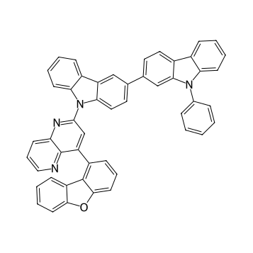 c1ccc(-n2c3ccccc3c3ccc(-c4ccc5c(c4)c4ccccc4n5-c4cc(-c5cccc6oc7ccccc7c56)c5ncccc5n4)cc32)cc1